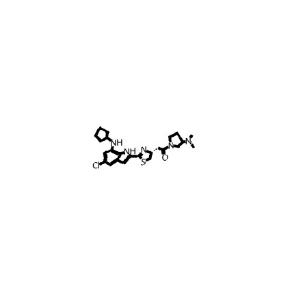 CN(C)C1CCN(C(=O)C[C@@H]2CSC(c3cc4cc(Cl)cc(NC5CCCC5)c4[nH]3)=N2)C1